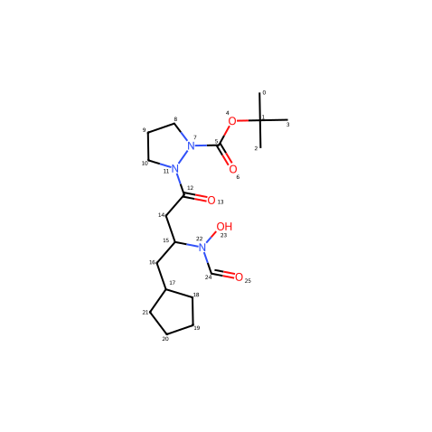 CC(C)(C)OC(=O)N1CCCN1C(=O)CC(CC1CCCC1)N(O)C=O